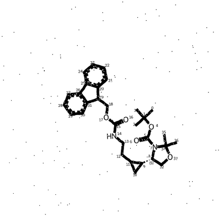 CC(C)(C)OC(=O)N1[C@@H](C2CC2CCNC(=O)OCC2c3ccccc3-c3ccccc32)COC1(C)C